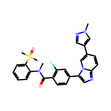 CN(C(=O)c1ccc(-c2cnc3ccc(-c4cnn(C)c4)cn23)cc1F)c1ccccc1[SH](C)(C)=O